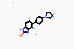 Oc1nc2c(F)c(-c3ccc(N4CCC(F)(F)C4)cc3)c(F)cc2[nH]1